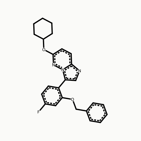 Fc1ccc(-c2cnc3ccc(OC4CCCCC4)nn23)c(OCc2ccccc2)c1